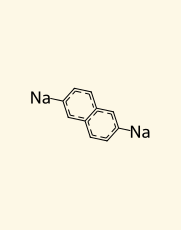 [Na][c]1ccc2c[c]([Na])ccc2c1